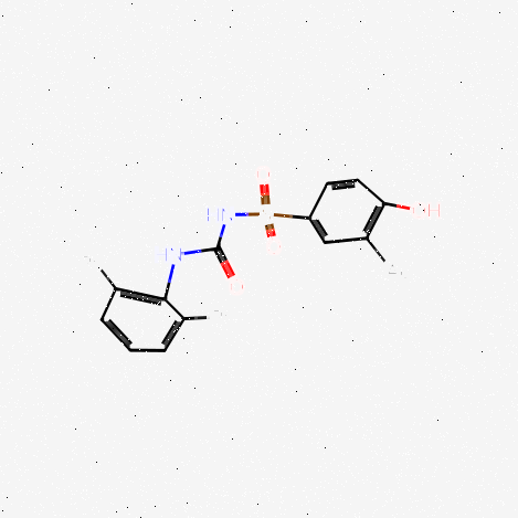 CC(=O)c1cc(S(=O)(=O)NC(=O)Nc2c(C(C)C)cccc2C(C)C)ccc1O